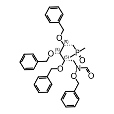 CP(C)(=O)C[C@@H](OCc1ccccc1)[C@@H](OCc1ccccc1)[C@H](CN(C=O)OCc1ccccc1)OCc1ccccc1